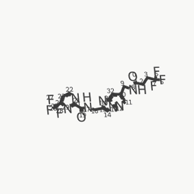 O=C(CCC(F)(F)F)NCc1cnn2cc(CNC(=O)c3nccc(C(F)(F)F)n3)nc2c1